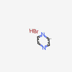 Br.[c]1cnccn1